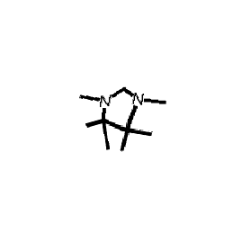 CN1CN(C)C(C)(C)C1(C)C